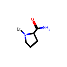 CCN1CCCC1C(N)=O